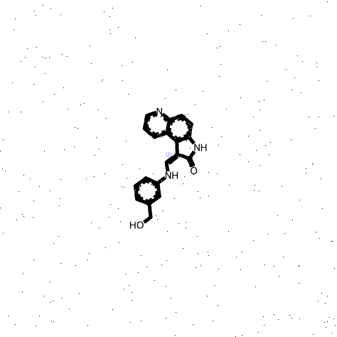 O=C1Nc2ccc3ncccc3c2/C1=C/Nc1cccc(CO)c1